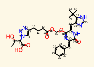 CC(O)C(C(=O)O)n1cc(CCCC(=O)OCOc2n/c(=C\c3ccccc3)c(=O)[nH]/c2=C\c2nc[nH]c2C(C)(C)C)nn1